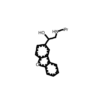 CC(C)NCC(O)c1ccc2oc3ccccc3c2c1